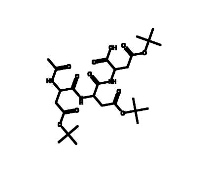 CC(=O)NC(CC(=O)OC(C)(C)C)C(=O)NC(CC(=O)OC(C)(C)C)C(=O)NC(CC(=O)OC(C)(C)C)C(=O)O